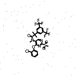 CN(C(=O)C(C)(C)c1cc(C(F)(F)F)cc(C(F)(F)F)c1)c1cnc(S(C)(=O)=O)nc1Oc1ccccc1Cl